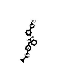 CCOC(=O)c1nc(-c2cccc(NC(=O)C3(CC45CCC(c6nc(C7CC7)no6)(CC4)CC5)CCCCC3)c2)cs1